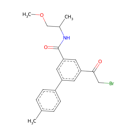 COCC(C)NC(=O)c1cc(C(=O)CBr)cc(-c2ccc(C)cc2)c1